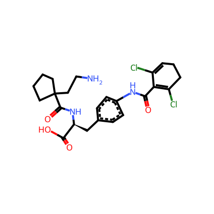 NCCC1(C(=O)N[C@@H](Cc2ccc(NC(=O)C3=C(Cl)CCC=C3Cl)cc2)C(=O)O)CCCC1